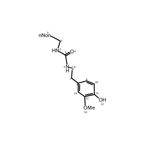 CCCCCCCCCCNC(=O)NSCc1ccc(O)c(OC)c1